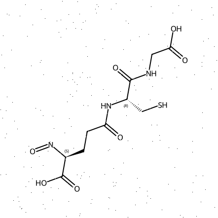 O=N[C@@H](CCC(=O)N[C@@H](CS)C(=O)NCC(=O)O)C(=O)O